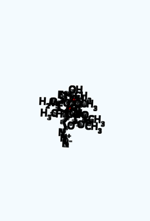 C=C(C(C)[C@H]1N(CCCCN=[N+]=[N-])C(=O)O[C@]1(C)[C@H](O)CC)[C@H](C)C[C@@](C)(OC)[C@H](C)[C@@H](C)C1=C(C)C(=O)OC(C)(C)O1